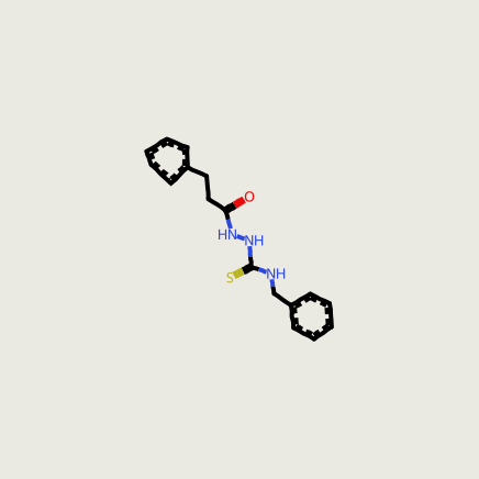 O=C(CCc1ccccc1)NNC(=S)NCc1ccccc1